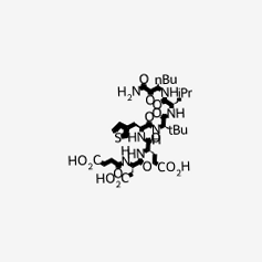 CCCC[C@H](NC(=O)[C@H](CC(C)C)NC(=O)[C@@H](NC(=O)[C@H](Cc1ccsc1)NC(=O)[C@H](CCC(=O)O)NC(=O)[C@H](CC(=O)O)NC(=O)CCC(=O)O)C(C)(C)C)C(=O)C(N)=O